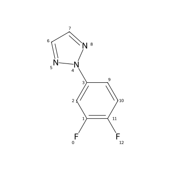 Fc1[c]c(-n2nccn2)ccc1F